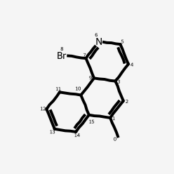 CC1=CC2C=CN=C(Br)C2C2CC=CC=C12